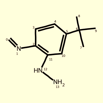 C=Nc1ccc(C(C)(C)C)cc1NN